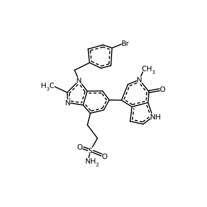 Cc1nc2c(CCS(N)(=O)=O)cc(-c3cn(C)c(=O)c4[nH]ccc34)cc2n1Cc1ccc(Br)cc1